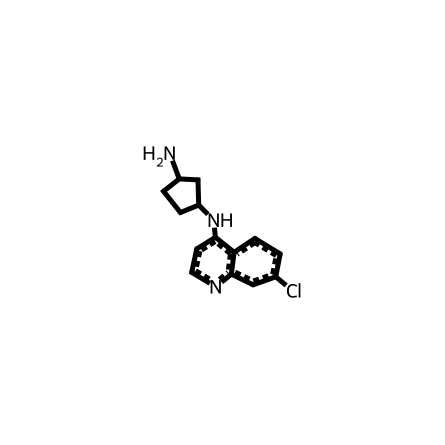 NC1CCC(Nc2ccnc3cc(Cl)ccc23)C1